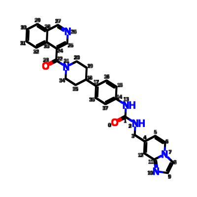 O=C(NCc1ccn2ccnc2c1)Nc1ccc(C2CCN(C(=O)c3cncc4ccccc34)CC2)cc1